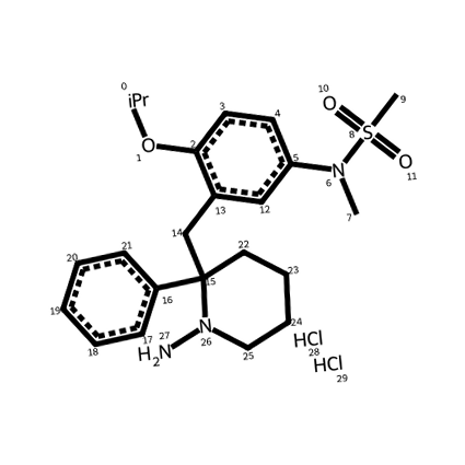 CC(C)Oc1ccc(N(C)S(C)(=O)=O)cc1CC1(c2ccccc2)CCCCN1N.Cl.Cl